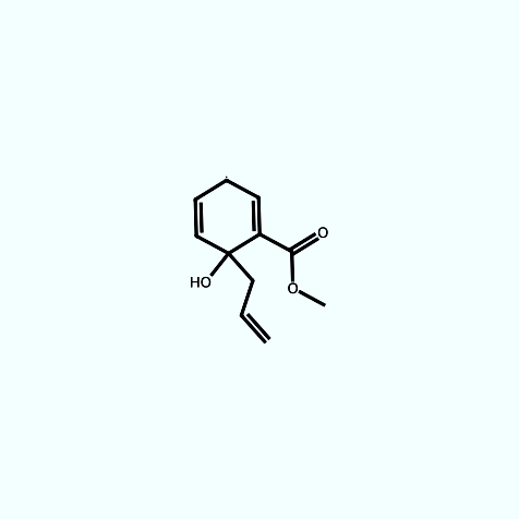 C=CCC1(O)C=C[CH]C=C1C(=O)OC